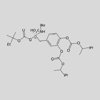 CCC(C)N[C@@](Cc1ccc(OC(=O)OC(C)C(C)C)c(OC(=O)OC(C)C(C)C)c1)(OC(=O)OC(C)(C)CC)C(=O)O